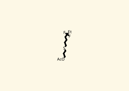 CCC(F)(F)CCCCSCCCOC(C)=O